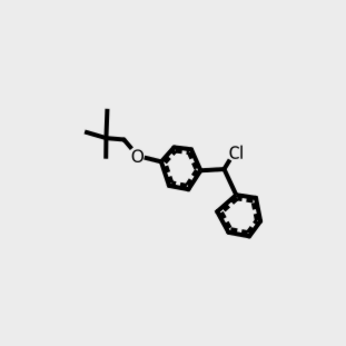 CC(C)(C)COc1ccc(C(Cl)c2ccccc2)cc1